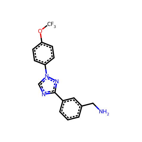 NCc1cccc(-c2ncn(-c3ccc(OC(F)(F)F)cc3)n2)c1